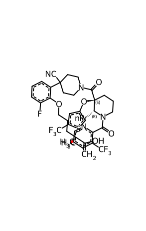 C=C(O)C(C)(C)CCCOc1c(F)cccc1C1(C#N)CCN(C(=O)[C@]2(Oc3csc(C(F)(F)F)c3)CCCN(C(=O)c3ncccc3C(F)(F)F)[C@@H]2CCC)CC1